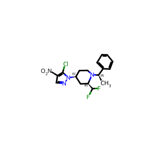 C[C@H](c1ccccc1)N1CC[C@H](n2ncc([N+](=O)[O-])c2Cl)C[C@@H]1C(F)F